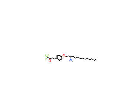 CCCCCCCCCCCC(CCOc1ccc(CCC(=O)C(F)(F)F)cc1)N(C)C